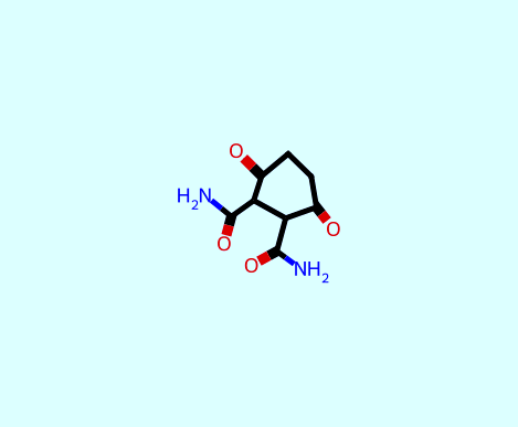 NC(=O)C1C(=O)CCC(=O)C1C(N)=O